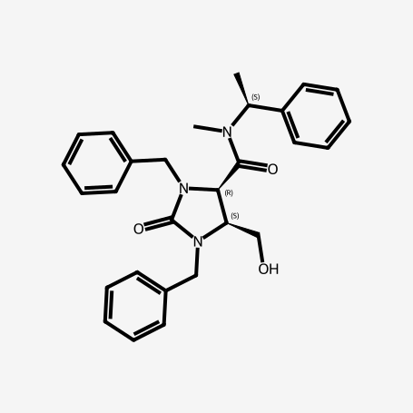 C[C@@H](c1ccccc1)N(C)C(=O)[C@H]1[C@@H](CO)N(Cc2ccccc2)C(=O)N1Cc1ccccc1